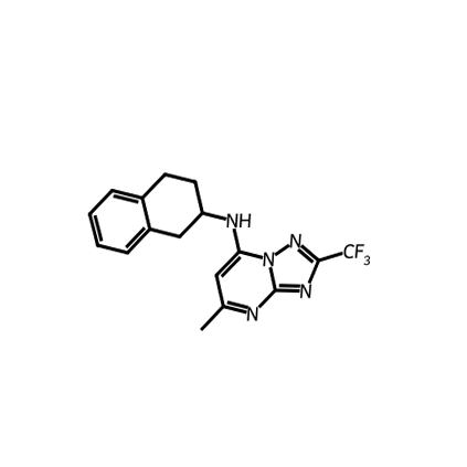 Cc1cc(NC2CCc3ccccc3C2)n2nc(C(F)(F)F)nc2n1